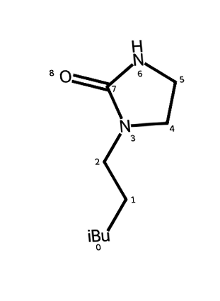 CCC(C)CCN1CCNC1=O